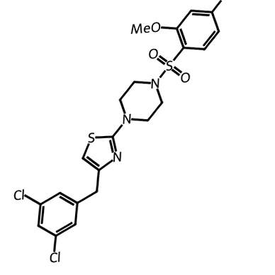 COc1ccc(S(=O)(=O)N2CCN(c3nc(Cc4cc(Cl)cc(Cl)c4)cs3)CC2)c(OC)c1